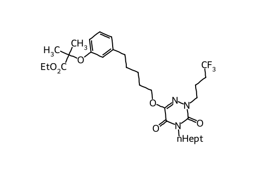 CCCCCCCn1c(=O)c(OCCCCCc2cccc(OC(C)(C)C(=O)OCC)c2)nn(CCCC(F)(F)F)c1=O